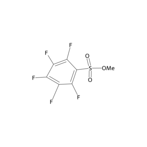 [CH2]OS(=O)(=O)c1c(F)c(F)c(F)c(F)c1F